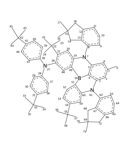 Cc1cc2c3c(c1)N(c1cccc4c1CC(C)(C)C4)c1cc(C(C)(C)C)c(N(c4ccc(C(C)(C)C)cc4)c4ccc(C(C)(C)C)cc4)cc1B3c1ccc(C(C)(C)C)cc1N2c1cccc2c1CC(C)(C)C2